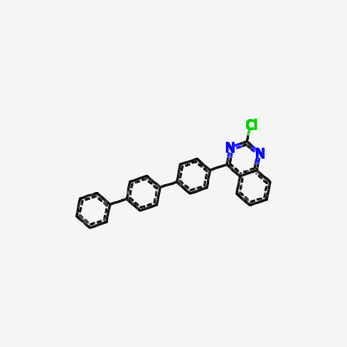 Clc1nc(-c2ccc(-c3ccc(-c4ccccc4)cc3)cc2)c2ccccc2n1